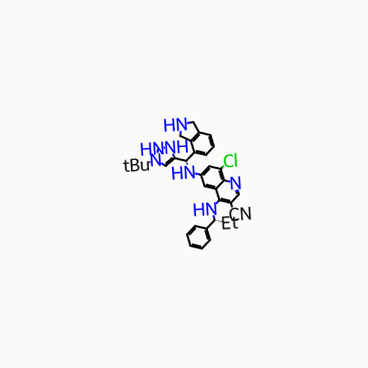 CC[C@@H](Nc1c(C#N)cnc2c(Cl)cc(N[C@H](C3=CN(C(C)(C)C)NN3)c3cccc4c3CNC4)cc12)c1ccccc1